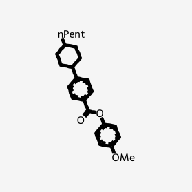 CCCCCC1CCC(c2ccc(C(=O)Oc3ccc(OC)cc3)cc2)CC1